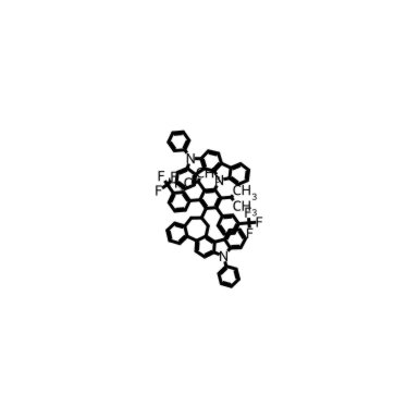 CC(C)c1c(-c2cccc(C(F)(F)F)c2)c(C2Cc3ccccc3-c3ccc4c(c3C2)c2ccccc2n4-c2ccccc2)c(-c2cccc(C(F)(F)F)c2)c(C(C)C)c1-n1c2ccccc2c2ccc3c(c4ccccc4n3-c3ccccc3)c21